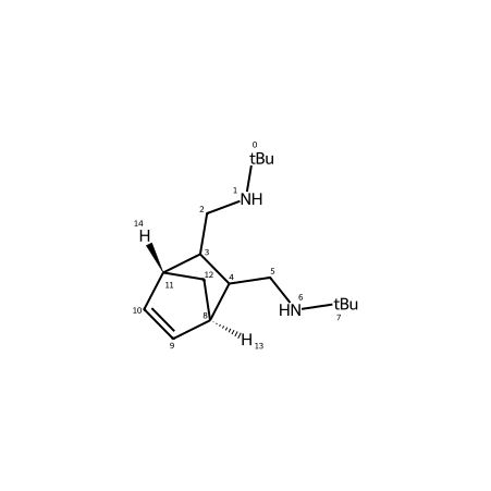 CC(C)(C)NCC1C(CNC(C)(C)C)[C@H]2C=C[C@H]1C2